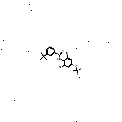 CC(C)(C)c1cccc(C(=O)Nc2c(Br)cc(OC(F)(F)F)cc2Br)c1